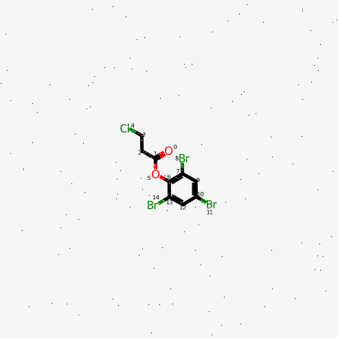 O=C(CCCl)Oc1c(Br)cc(Br)cc1Br